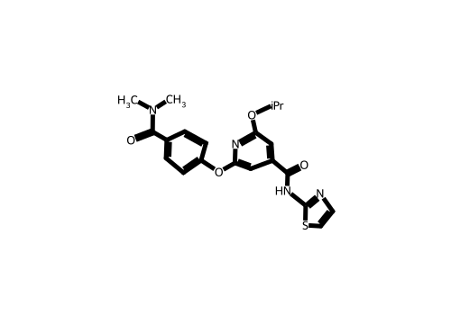 CC(C)Oc1cc(C(=O)Nc2nccs2)cc(Oc2ccc(C(=O)N(C)C)cc2)n1